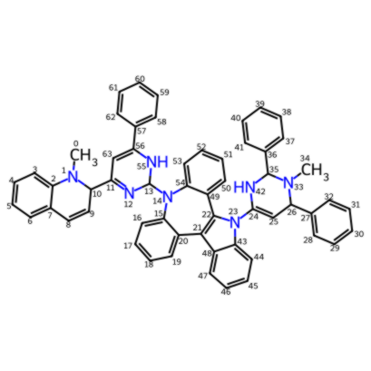 CN1c2ccccc2C=CC1C1=NC(N2c3ccccc3-c3c(n(C4=CC(c5ccccc5)N(C)C(c5ccccc5)N4)c4ccccc34)-c3ccccc32)NC(c2ccccc2)=C1